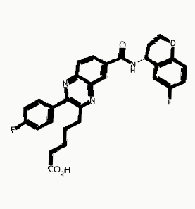 O=C(O)CCCCc1nc2cc(C(=O)N[C@@H]3CCOc4ccc(F)cc43)ccc2nc1-c1ccc(F)cc1